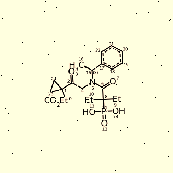 CCOC(=O)C1(C(=O)CN(C(=O)C(CC)(CC)P(=O)(O)O)[C@@H](C)c2ccccc2)CC1